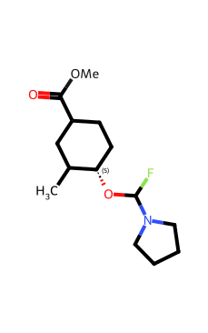 COC(=O)C1CC[C@H](OC(F)N2CCCC2)C(C)C1